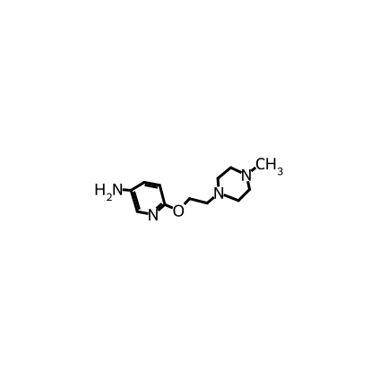 CN1CCN(CCOc2ccc(N)cn2)CC1